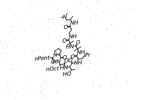 CCCCCCCCC(NC(=O)[C@@H]1CCCN1C(=O)CCCCC)C(=O)NC(C(=O)NC(CC(C)C)C(=O)NC(C)(C)C(=O)NC(C)(C)C(=O)NCCC(=O)NC(C)CN(C)C)C(C)O